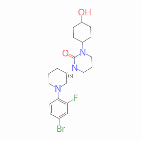 O=C1N(C2CCC(O)CC2)CCCN1[C@H]1CCCN(c2ccc(Br)cc2F)C1